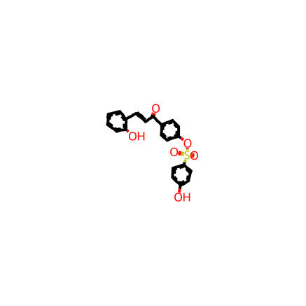 O=C(/C=C/c1ccccc1O)c1ccc(OS(=O)(=O)c2ccc(O)cc2)cc1